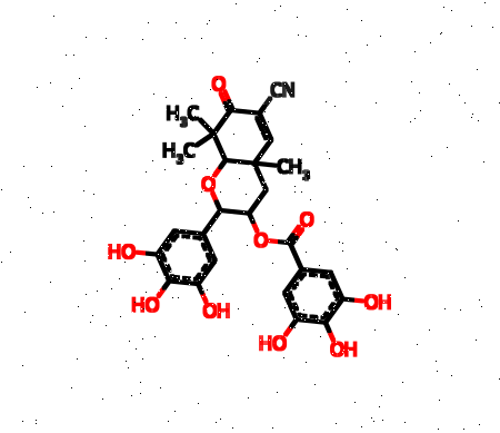 CC12C=C(C#N)C(=O)C(C)(C)C1OC(c1cc(O)c(O)c(O)c1)C(OC(=O)c1cc(O)c(O)c(O)c1)C2